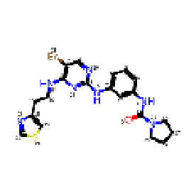 O=C(Nc1cccc(Nc2ncc(Br)c(NCCc3cscn3)n2)c1)N1CCCC1